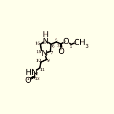 CCOC(=O)CC1CN(CCCN[C]=O)CCN1